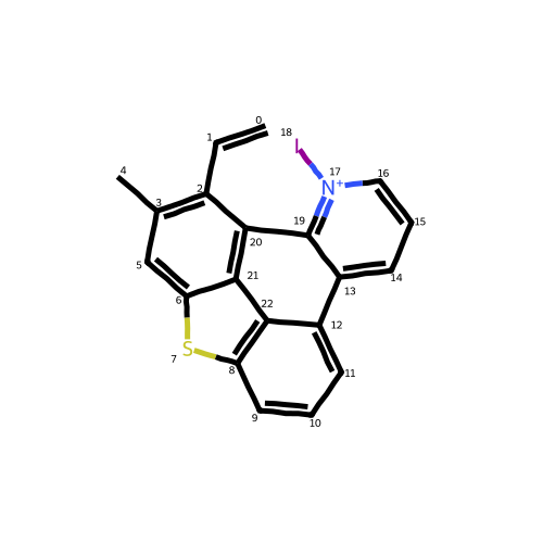 C=Cc1c(C)cc2sc3cccc4c5ccc[n+](I)c5c1c2c34